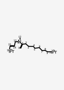 C=C(CCCCCCCCC(C)C)N(C)C/C=C/C(C)C